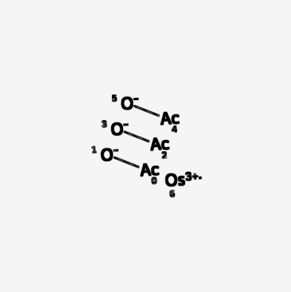 CC(=O)[O-].CC(=O)[O-].CC(=O)[O-].[Os+3]